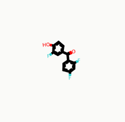 O=C(c1ccc(O)c(F)c1)c1ccc(F)cc1F